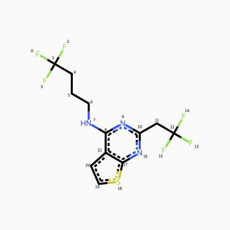 FC(F)(F)CCCNc1nc(CC(F)(F)F)nc2sccc12